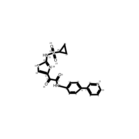 O=C(Nc1ccc(-c2cccnc2)cc1)C(=O)c1csc(NS(=O)(=O)C2CC2)n1